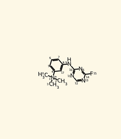 C[N+](C)(C)c1cccc(Nc2n[c]nc(F)n2)c1